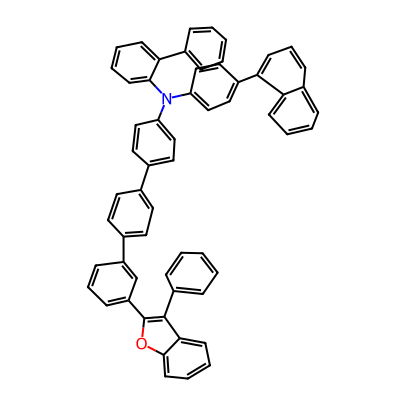 c1ccc(-c2ccccc2N(c2ccc(-c3ccc(-c4cccc(-c5oc6ccccc6c5-c5ccccc5)c4)cc3)cc2)c2ccc(-c3cccc4ccccc34)cc2)cc1